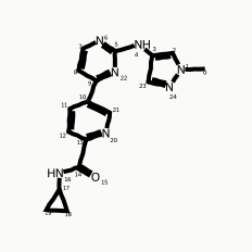 Cn1cc(Nc2nccc(-c3ccc(C(=O)NC4CC4)nc3)n2)cn1